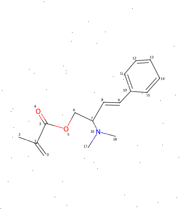 C=C(C)C(=O)OCC(C=Cc1ccccc1)N(C)C